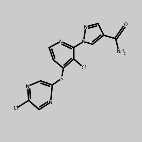 NC(=O)c1cnn(-c2nccc(Sc3cnc(Cl)cn3)c2Cl)c1